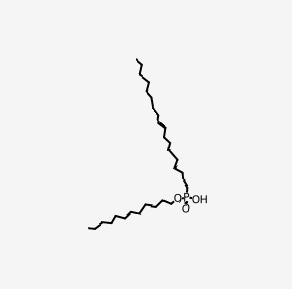 CCCCCCCCC=CCCCCCCCCP(=O)(O)OCCCCCCCCCCCC